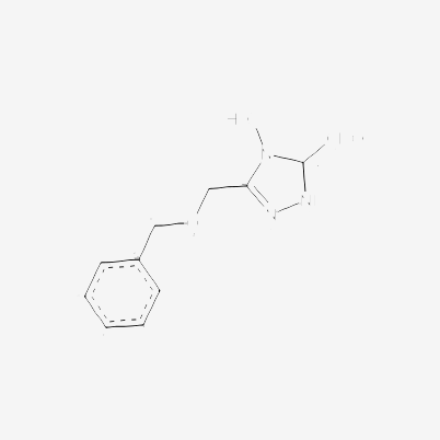 CN1C(COCc2ccccc2)=NNC1C=O